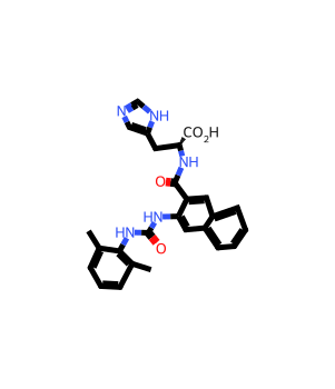 Cc1cccc(C)c1NC(=O)Nc1cc2ccccc2cc1C(=O)N[C@@H](Cc1cnc[nH]1)C(=O)O